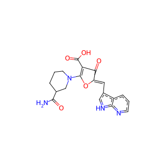 NC(=O)C1CCCN(C2=C(C(=O)O)C(=O)C(=Cc3c[nH]c4ncccc34)O2)C1